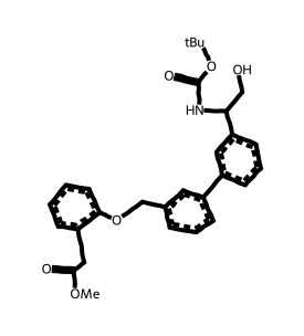 COC(=O)Cc1ccccc1OCc1cccc(-c2cccc(C(CO)NC(=O)OC(C)(C)C)c2)c1